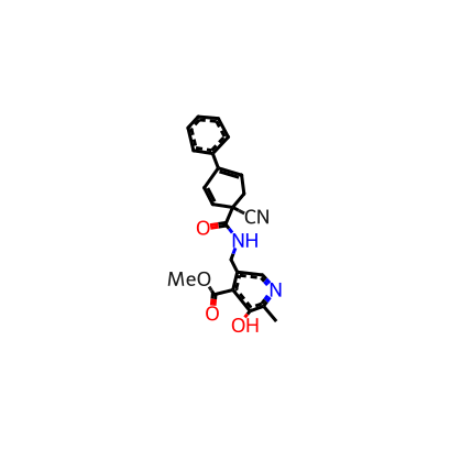 COC(=O)c1c(CNC(=O)C2(C#N)C=CC(c3ccccc3)=CC2)cnc(C)c1O